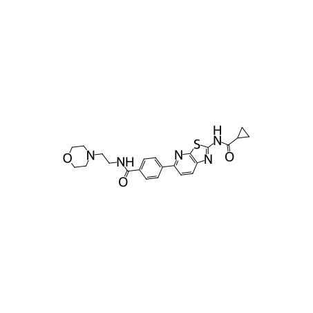 O=C(NCCN1CCOCC1)c1ccc(-c2ccc3nc(NC(=O)C4CC4)sc3n2)cc1